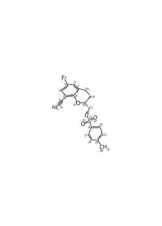 C#Cc1cc(F)cc2c1OC(COS(=O)(=O)c1ccc(C)cc1)CC2